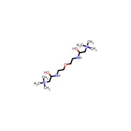 C[N+](C)(C)CC(O)NCCOCCNC(O)C[N+](C)(C)C